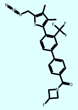 Cc1c(CN=[N+]=[N-])sc(-c2ccc(-c3ccc(C(=O)N4CC(F)C4)cc3)cc2C(F)(F)F)c1C